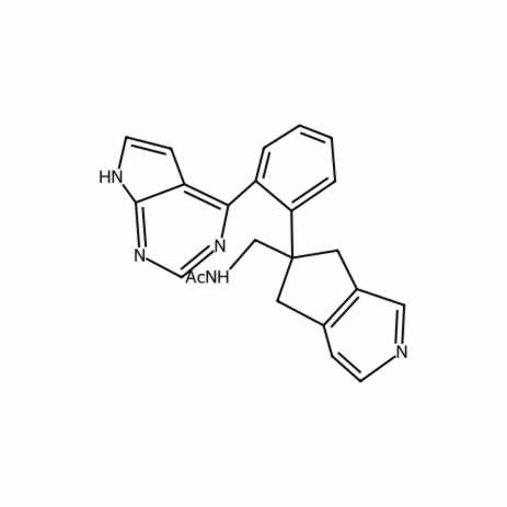 CC(=O)NCC1(c2ccccc2-c2ncnc3[nH]ccc23)Cc2ccncc2C1